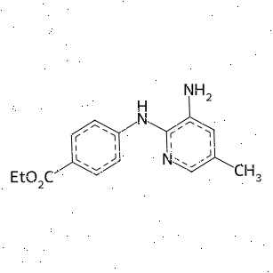 CCOC(=O)c1ccc(Nc2ncc(C)cc2N)cc1